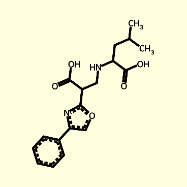 CC(C)CC(NCC(C(=O)O)c1nc(-c2ccccc2)co1)C(=O)O